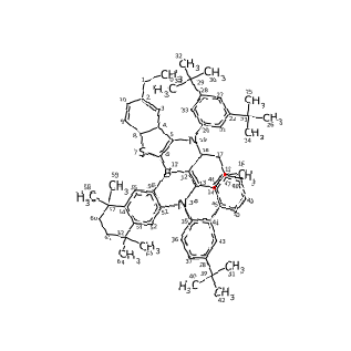 CCC1=CC2C3=C(SC2C=C1)B1C2=C(C=C(C)CC2N3c2cc(C(C)(C)C)cc(C(C)(C)C)c2)N(c2ccc(C(C)(C)C)cc2-c2ccccc2)c2cc3c(cc21)C(C)(C)CCC3(C)C